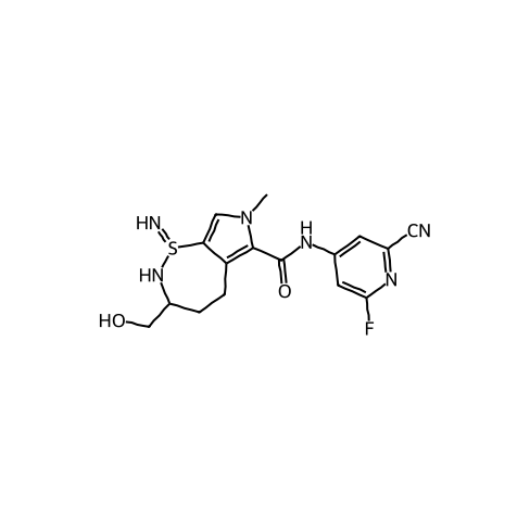 Cn1cc2c(c1C(=O)Nc1cc(F)nc(C#N)c1)CCC(CO)NS2=N